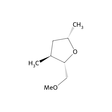 COC[C@H]1O[C@@H](C)C[C@@H]1C